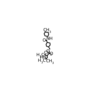 CC1CCC(NC(=O)C2CCC(COC(=O)C3CC(C)(C)NC3(C)C)CC2)CC1